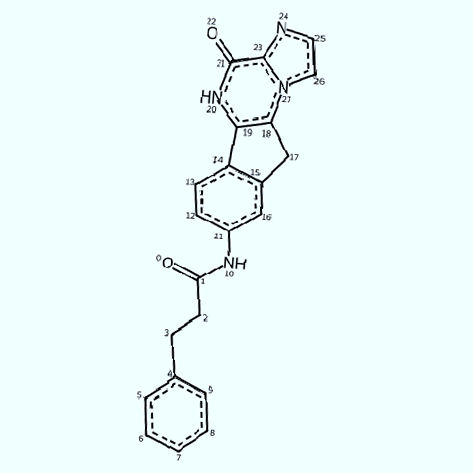 O=C(CCc1ccccc1)Nc1ccc2c(c1)Cc1c-2[nH]c(=O)c2nccn12